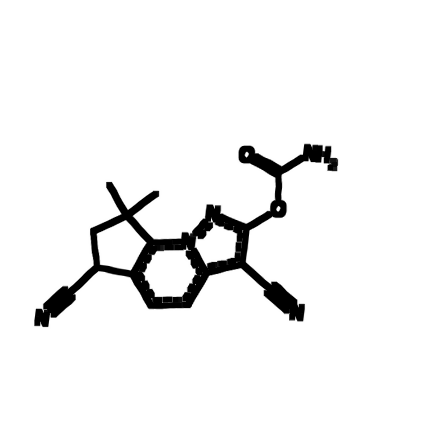 CC1(C)CC(C#N)c2ccc3c(C#N)c(OC(N)=O)nn3c21